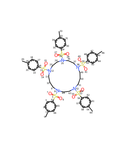 Cc1ccc(S(=O)(=O)N2CCCN(S(=O)(=O)c3ccc(C)cc3)CCN(S(=O)(=O)c3ccc(C)cc3)CCN(S(=O)(=O)c3ccc(C)cc3)CCCN(S(=O)(=O)c3ccc(C)cc3)CC2)cc1